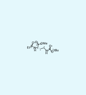 CCC(=O)N[C@@H](CCNC(=O)OC(C)(C)C)C(=O)OC